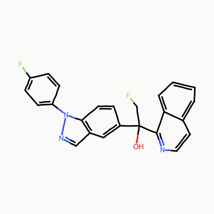 OC(CF)(c1ccc2c(cnn2-c2ccc(F)cc2)c1)c1nccc2ccccc12